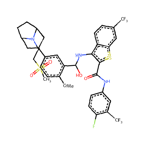 COc1ccc(C2CC3CCC(C2)N3CCS(C)(=O)=O)cc1C(O)Nc1c(C(=O)Nc2ccc(F)c(C(F)(F)F)c2)sc2cc(C(F)(F)F)ccc12